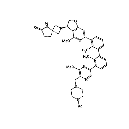 COc1nc(-c2cccc(-c3cccc(-c4cc5c(c(OC)n4)[C@@H](N4CC6(CCC(=O)N6)C4)CO5)c3C)c2C)cnc1CN1CCN(C(C)=O)CC1